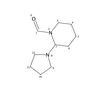 O=CN1CCCCC1N1CCCC1